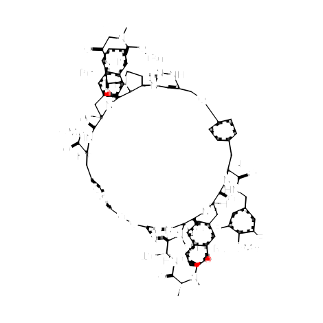 CCCN(C(=O)[C@@H](NC(=O)[C@H](C)N(C)C(=O)OC(C)(C)C)C(C)(C)C)[C@@H]1C(=O)N[C@@H](Cc2ccc3ccccc3c2)C(=O)N[C@H](C(=O)NCc2cc(F)c(OC)c(F)c2)Cc2ccc(cc2)OCC2=CN(NN2)[C@@H]2CCN(C(=O)[C@@H](NC(=O)[C@H](C)N(C)C(=O)OC(C)(C)C)C(C)(C)C)[C@@H]2C(=O)N[C@@H](Cc2ccc3ccccc3c2)C(=O)N[C@H](C(=O)OC)Cc2ccc(cc2)OCc2cn1nn2